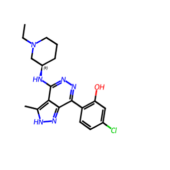 CCN1CCC[C@@H](Nc2nnc(-c3ccc(Cl)cc3O)c3n[nH]c(C)c23)C1